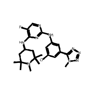 CN1C(C)(C)CC(Nc2nc(Nc3cc(Cl)cc(-c4nnnn4C)c3)ncc2F)CC1(C)C